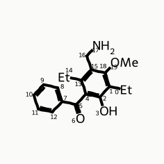 CCc1c(O)c(C(=O)c2ccccc2)c(CC)c(CN)c1OC